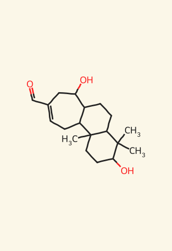 CC1(C)C(O)CCC2(C)C3CC=C(C=O)CC(O)C3CCC12